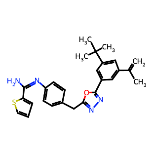 C=C(C)c1cc(-c2nnc(Cc3ccc(/N=C(/N)c4cccs4)cc3)o2)cc(C(C)(C)C)c1